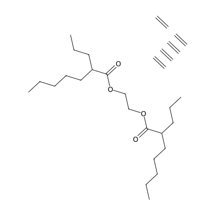 C=C.C=C.C=C.C=C.C=C.CCCCCC(CCC)C(=O)OCCOC(=O)C(CCC)CCCCC